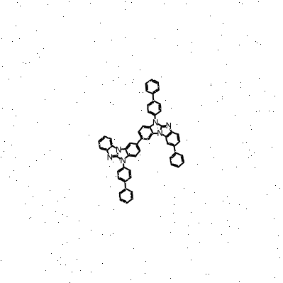 c1ccc(-c2ccc(-n3c4ccc(-c5ccc6c(c5)n5c7cc(-c8ccccc8)ccc7nc5n6-c5ccc(-c6ccccc6)cc5)cc4n4c5ccccc5nc34)cc2)cc1